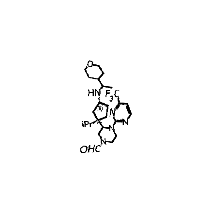 CC(N[C@@H]1CC[C@](C(C)C)(C2CN(C=O)CCN2c2nccc(C(F)(F)F)n2)C1)C1CCOCC1